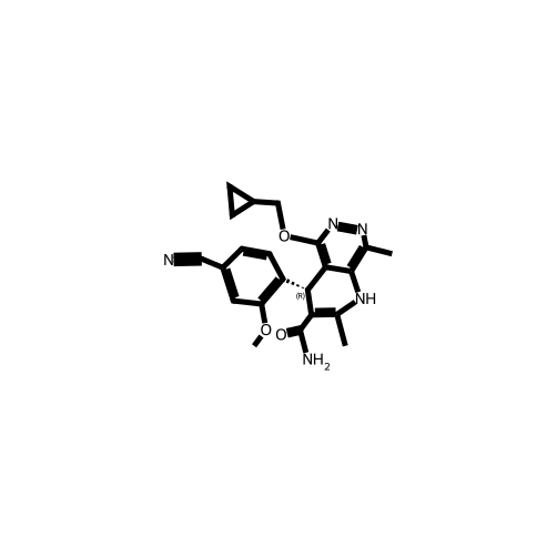 COc1cc(C#N)ccc1[C@H]1C(C(N)=O)=C(C)Nc2c(C)nnc(OCC3CC3)c21